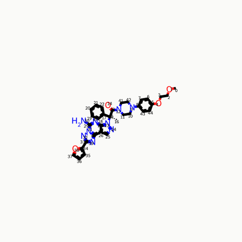 COCCOc1ccc(N2CCN(C(=O)[C@](C)(c3ccccc3)n3ncc4c3nc(N)n3nc(-c5ccco5)nc43)CC2)cc1